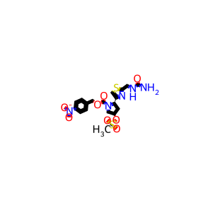 CS(=O)(=O)O[C@@H]1C[C@@H](c2csc(CNC(N)=O)n2)N(C(=O)OCc2ccc([N+](=O)[O-])cc2)C1